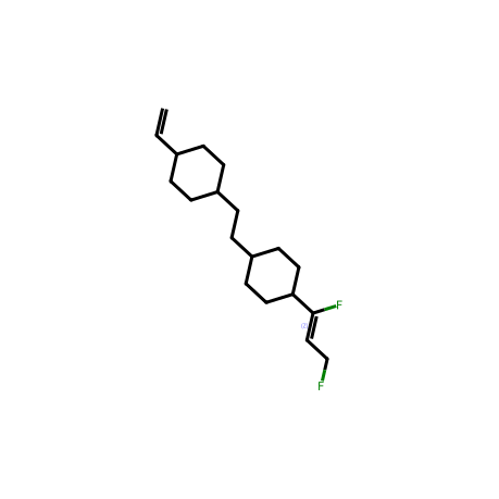 C=CC1CCC(CCC2CCC(/C(F)=C/CF)CC2)CC1